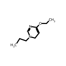 CCCN1[C]=NC(OCC)=CC1